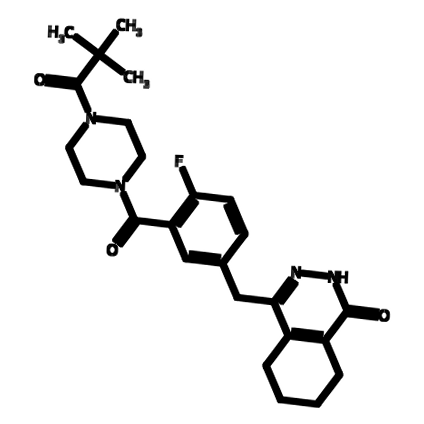 CC(C)(C)C(=O)N1CCN(C(=O)c2cc(Cc3n[nH]c(=O)c4c3CCCC4)ccc2F)CC1